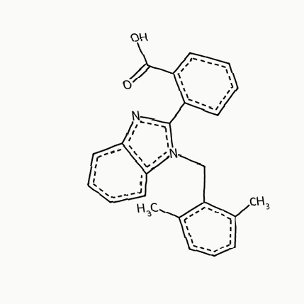 Cc1cccc(C)c1Cn1c(-c2ccccc2C(=O)O)nc2ccccc21